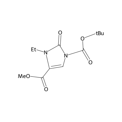 CCn1c(C(=O)OC)cn(C(=O)OC(C)(C)C)c1=O